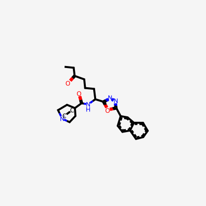 CCC(=O)CCCC(NC(=O)C12CCN(CC1)CC2)c1nnc(-c2ccc3ccccc3c2)o1